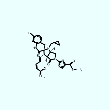 C=C(Cl)/C=C\C=C(/F)[C@H]1[C@@H]2C(=O)N(c3nc(C(=O)OC)cs3)C[C@@H]2N(CC2CC2)[C@]12Cc1ccc(Cl)cc1NC2=O